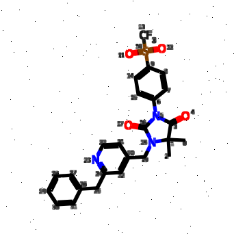 CC1(C)C(=O)N(c2ccc(S(=O)(=O)C(F)(F)F)cc2)C(=O)N1Cc1ccnc(Cc2ccccc2)c1